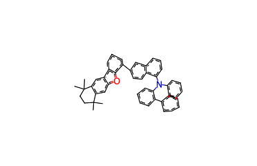 CC1(C)CCC(C)(C)c2cc3c(cc21)oc1c(-c2ccc4c(N(c5ccccc5)c5ccccc5-c5ccccc5)cccc4c2)cccc13